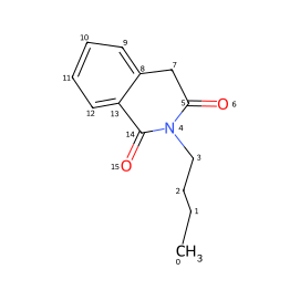 CCCCN1C(=O)Cc2ccccc2C1=O